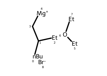 CCCCC(CC)[CH2][Mg+].CCOCC.[Br-]